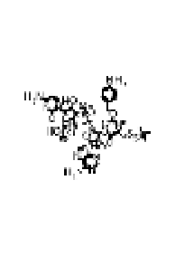 CN(C(=O)OCc1ccc(N)cc1)[C@@H](CSSC(C)(C)C)C(=O)O[C@H]1[C@@H](O)[C@H](n2cnc3c(N)ncnc32)O[C@@H]1COP(=O)(O)[C@@H]1C(COP(=O)(O)O)O[C@@H](n2ccc(N)nc2=O)[C@@H]1O